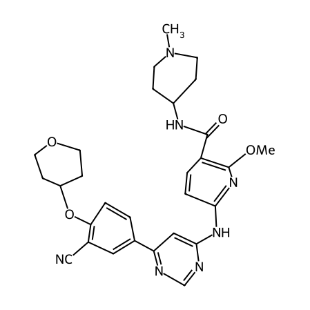 COc1nc(Nc2cc(-c3ccc(OC4CCOCC4)c(C#N)c3)ncn2)ccc1C(=O)NC1CCN(C)CC1